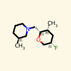 C[C@H]1CCCN(C[C@H]2OC[C@@H](F)C[C@H]2C)C1